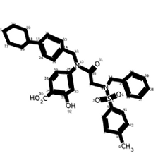 Cc1ccc(S(=O)(=O)N(CC(=O)N(Cc2ccc(C3CCCCC3)cc2)c2ccc(C(=O)O)c(O)c2)Cc2ccccc2)cc1